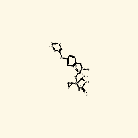 CN(Cc1ccc(Oc2cncnc2)cc1)S(=O)(=O)C[C@]1(C2CC2)NC(=O)NC1=O